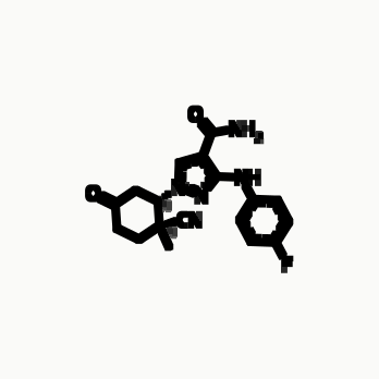 C[C@]1(C#N)CCC(=O)C[C@@H]1n1cc(C(N)=O)c(Nc2ccc(F)cc2)n1